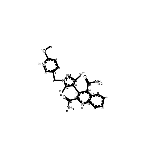 COc1ccc(Cn2nc(C)c(-c3c(C(N)=O)nc4ccccc4c3C(N)=O)c2C)cn1